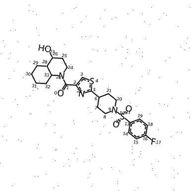 O=C(c1csc(C2CCN(S(=O)(=O)c3ccc(F)cc3)CC2)n1)N1CCC(O)C2CCCCC21